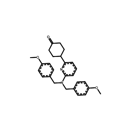 COc1ccc(CN(Cc2ccc(OC)cc2)c2cccc(C3CCC(=O)CC3)n2)cc1